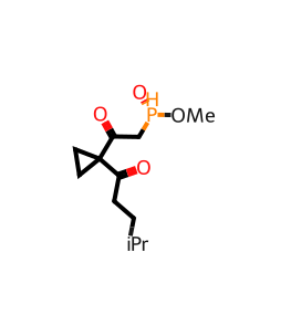 CO[PH](=O)CC(=O)C1(C(=O)CCC(C)C)CC1